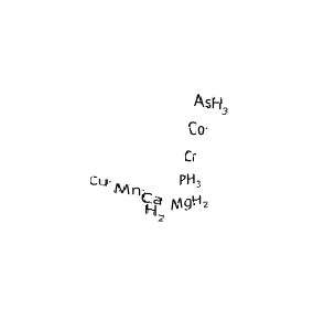 P.[AsH3].[CaH2].[Co].[Cr].[Cu].[MgH2].[Mn]